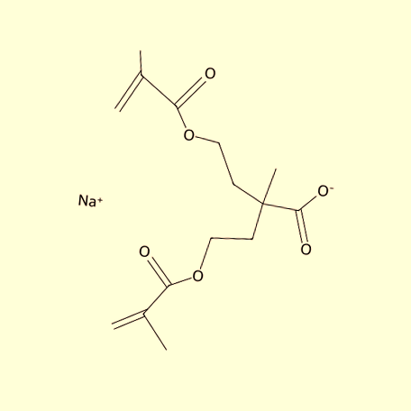 C=C(C)C(=O)OCCC(C)(CCOC(=O)C(=C)C)C(=O)[O-].[Na+]